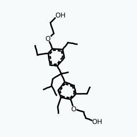 CCc1cc(C(C)(CC(C)C)c2cc(CC)c(OCCO)c(CC)c2)cc(CC)c1OCCO